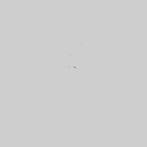 CC(C)(C)COc1ccc2c(c1)[C@]1(COCC(N)=N1)c1cc(Br)ccc1O2